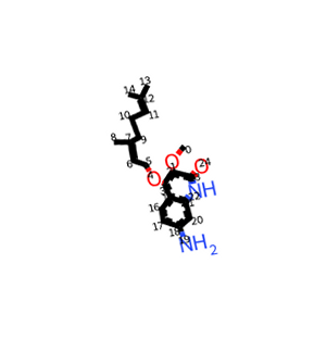 COc1c(OCC=C(C)CCC=C(C)C)c2ccc(N)cc2[nH]c1=O